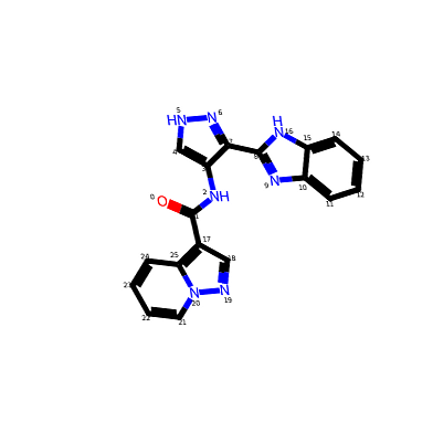 O=C(Nc1c[nH]nc1-c1nc2ccccc2[nH]1)c1cnn2ccccc12